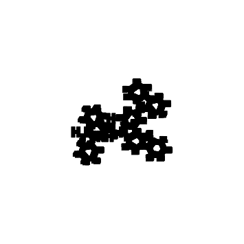 NC(NC(NCn1c2c(c3c4sc5c(c4ccc31)C=CCC5)CC(n1c3ccccc3c3ccccc31)C=C2)c1ccccc1)c1ccccc1